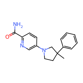 CC1(c2ccccc2)CCN(c2ccc(C(N)=O)nc2)C1